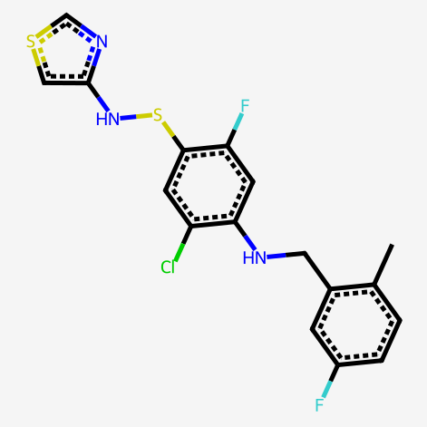 Cc1ccc(F)cc1CNc1cc(F)c(SNc2cscn2)cc1Cl